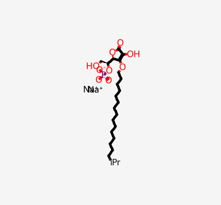 CC(C)CCCCCCCCCCCCCCCOC1=C(O)C(=O)O[C@@H]1[C@H](CO)OP(=O)([O-])[O-].[Na+].[Na+]